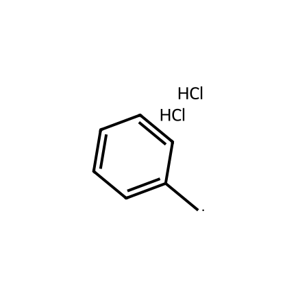 Cl.Cl.[CH2]c1ccccc1